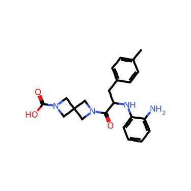 Cc1ccc(CC(Nc2ccccc2N)C(=O)N2CC3(CN(C(=O)O)C3)C2)cc1